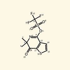 CC1(C)N=C(OS(=O)(=O)C(F)(F)F)c2ccsc2C1=O